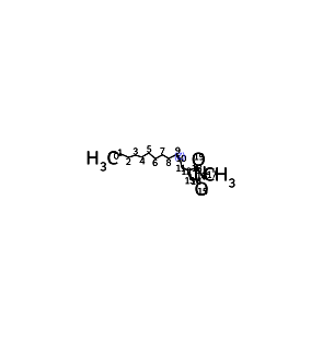 CCCCCCCCC/C=C\CC1=CC(=O)N(C)C1=O